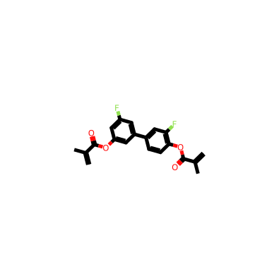 C=C(C)C(=O)Oc1cc(F)cc(-c2ccc(OC(=O)C(=C)C)c(F)c2)c1